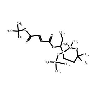 CCC(OC(=O)C=CC(=O)OC(C)(C)C)[Si]1(O[Si](C)(C)C)CCC(C)(C)O[Si]1(C)C